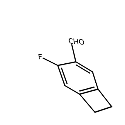 O=Cc1cc2c(cc1F)CC2